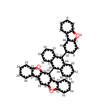 c1ccc2c(c1)oc1ccc(-c3c4ccccc4c(-c4c5oc6ccccc6c5cc5oc6ccccc6c45)c4ccccc34)cc12